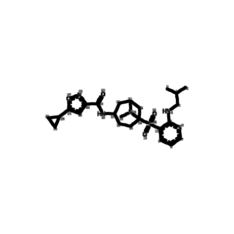 CC(C)CNc1ncccc1S(=O)(=O)C12CCC(NC(=O)c3cc(C4CC4)on3)CC(C1)N2C